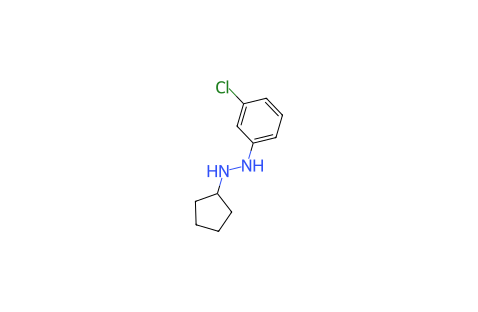 Clc1cccc(NNC2CCCC2)c1